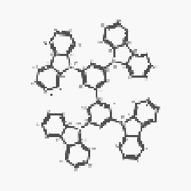 c1ccc2c(c1)c1ccccc1n2-c1cc(-c2cc(-n3c4ccccc4c4ccccc43)cc(-n3c4ccccc4c4ccccc43)c2)cc(-n2c3ccccc3c3ccccc32)c1